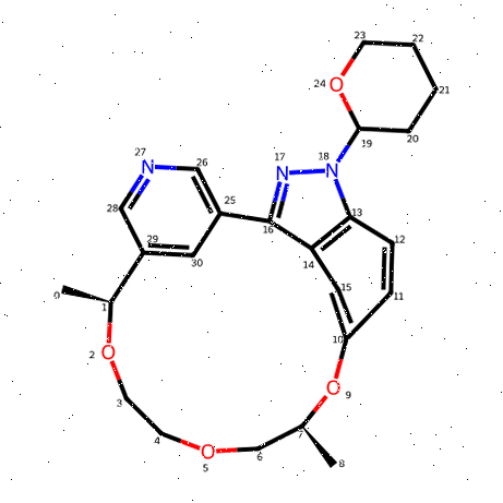 C[C@@H]1OCCOC[C@H](C)Oc2ccc3c(c2)c(nn3C2CCCCO2)-c2cncc1c2